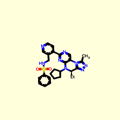 CC[C@@H]1c2nnc(C)n2-c2cnc(-c3ccncc3CNS(=O)(=O)c3ccccc3)nc2N1C1CCCC1